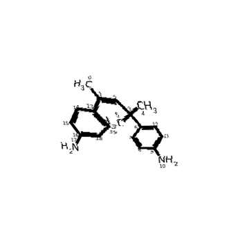 CC(=CC(C)(C)c1ccc(N)cc1)c1ccc(N)cc1